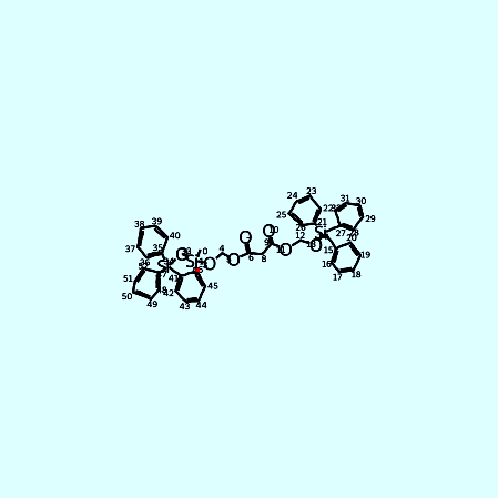 C[Si](C)(OCOC(=O)CC(=O)OCO[Si](c1ccccc1)(c1ccccc1)c1ccccc1)O[Si](c1ccccc1)(c1ccccc1)c1ccccc1